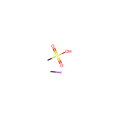 CI.CS(=O)(=O)O